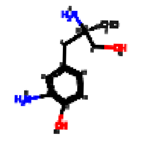 Nc1cc(C[C@](N)(C=O)CO)ccc1O